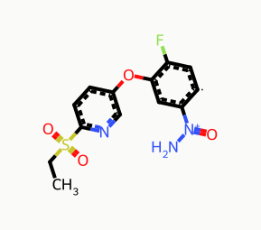 CCS(=O)(=O)c1ccc(Oc2cc([N+](N)=O)[c]cc2F)cn1